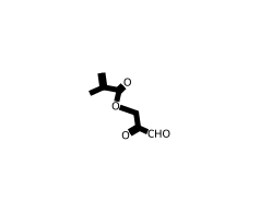 C=C(C)C(=O)OCC(=O)C=O